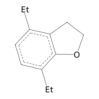 CCc1ccc(CC)c2c1CCO2